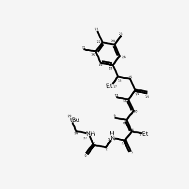 C=C(CNC(=C)/C(CC)=C(C)/C=C(\C)C(=C)CC(CC)c1cc(C)c(C)c(C)c1)NCC(C)(C)C